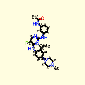 CCC(=O)Nc1cccc(Nc2ncc(F)c(Nc3ccc(N4CCN(C(C)=O)CC4)cc3OC)n2)c1